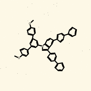 COc1ccc(-c2cc(-c3ccc(OC)cc3)cc(-n3cc(-c4ccc(-c5ccccc5)cc4)c4cc(-c5ccc(-c6ccccc6)cc5)ccc43)c2)cc1